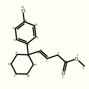 COC(=O)C/C=C/C1(c2ccc(Cl)cc2)CCCCC1